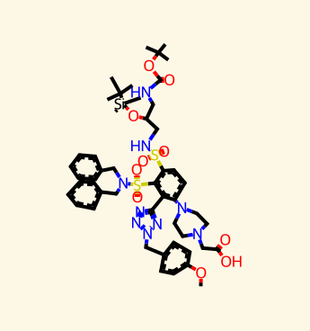 COc1ccc(Cn2nnc(-c3c(N4CCN(CC(=O)O)CC4)ccc(S(=O)(=O)NCC(CNC(=O)OC(C)(C)C)O[Si](C)(C)C(C)(C)C)c3S(=O)(=O)N(Cc3ccccc3)Cc3ccccc3)n2)cc1